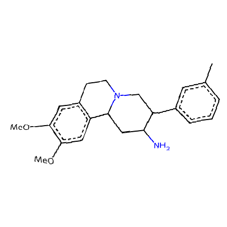 COc1cc2c(cc1OC)C1CC(N)C(c3cccc(C)c3)CN1CC2